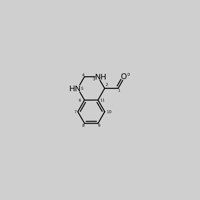 O=CC1NCNc2ccccc21